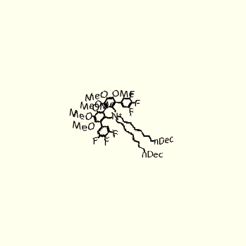 CCCCCCCCCCCCCCCCCC[N+]1(CCCCCCCCCCCCCCCCCC)Cc2c(-c3cc(F)c(F)c(F)c3)c(OC)c(OC)c(OC)c2-c2c(c(-c3cc(F)c(F)c(F)c3)c(OC)c(OC)c2OC)C1